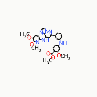 COC(=O)c1ccc(Nc2cccc(-c3cc(Nc4ccc(OC)c(OC)n4)c4nccn4n3)c2)cc1OC